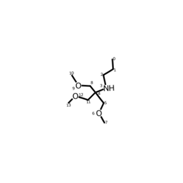 CCCNC(COC)(COC)COC